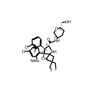 CNc1cc(Cl)ccc1[C@]1(C)[C@@H](c2cccc(Cl)c2F)[C@H](C(=O)N[C@@H]2CC[C@@H](CO)OC2)NC12CC(CF)(CF)C2